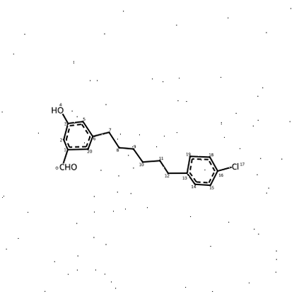 O=Cc1cc(O)cc(CCCCCCc2ccc(Cl)cc2)c1